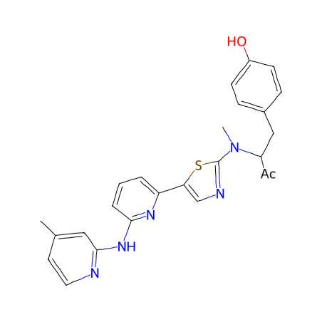 CC(=O)C(Cc1ccc(O)cc1)N(C)c1ncc(-c2cccc(Nc3cc(C)ccn3)n2)s1